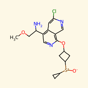 COCC(N)c1cnc(OC2CC([S+]([O-])C3CC3)C2)c2cnc(Cl)cc12